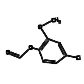 COc1cc(Cl)ccc1OC=O